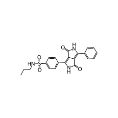 CCCNS(=O)(=O)c1ccc(C2=C3C(=O)NC(c4ccccc4)=C3C(=O)N2)cc1